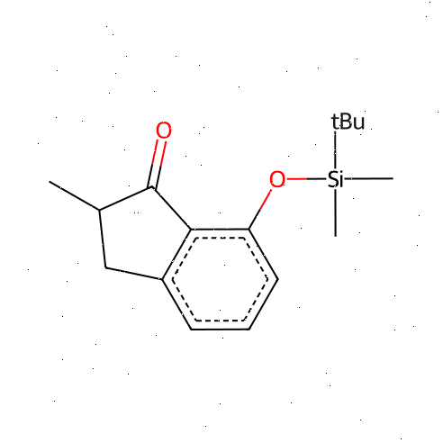 CC1Cc2cccc(O[Si](C)(C)C(C)(C)C)c2C1=O